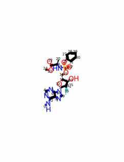 CNc1ncnc2c1ncn2[C@@H]1O[C@H](CO[P@](=O)(N[C@H](C)C(=O)OC)Oc2ccccc2)[C@@H](O)[C@@]1(C)F